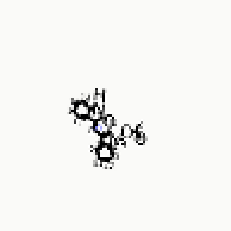 CC(=O)OCn1cc(/C=C2\C(=O)Nc3ccccc32)c2ccccc21